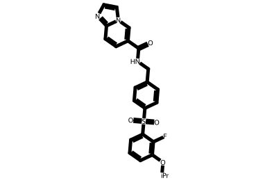 CC(C)Oc1cccc(S(=O)(=O)c2ccc(CNC(=O)c3ccc4nccn4c3)cc2)c1F